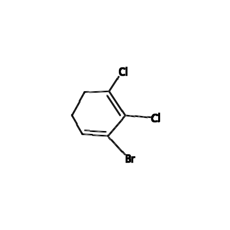 ClC1=C(Cl)C(Br)=CCC1